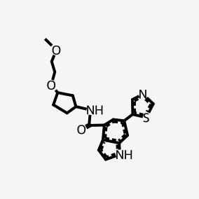 COCCOC1CCC(NC(=O)c2cc(-c3cncs3)cc3[nH]ccc23)C1